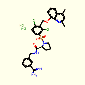 Cc1cc(C)c2cccc(OCc3c(Cl)ccc(S(=O)(=O)N4CCC[C@H]4C(=O)NCc4cccc(C(=N)N)c4)c3Cl)c2n1.Cl.Cl